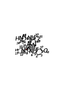 COc1ccc(CNCC(=O)N2C3CCC2CC(Nc2nc(Nc4cc(C)[nH]n4)c4ccsc4n2)C3)cc1